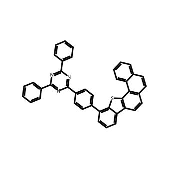 c1ccc(-c2nc(-c3ccccc3)nc(-c3ccc(-c4cccc5c4sc4c5ccc5ccc6ccccc6c54)cc3)n2)cc1